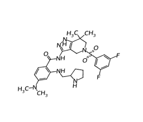 CN(C)c1ccc(C(=O)Nc2n[nH]c3c2CN(S(=O)(=O)c2cc(F)cc(F)c2)CC3(C)C)c(NCC2CCCN2)c1